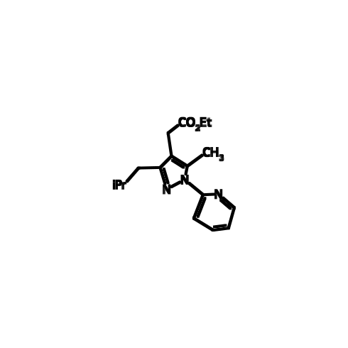 CCOC(=O)Cc1c(CC(C)C)nn(-c2ccccn2)c1C